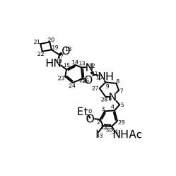 CCOc1cc(CN2CCC(Nc3nc4cc(NC(=O)C5CCC5)ccc4o3)CC2)cc(NC(C)=O)c1I